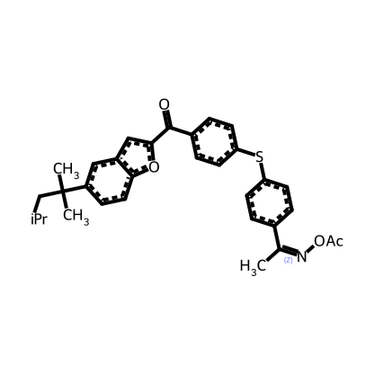 CC(=O)O/N=C(/C)c1ccc(Sc2ccc(C(=O)c3cc4cc(C(C)(C)CC(C)C)ccc4o3)cc2)cc1